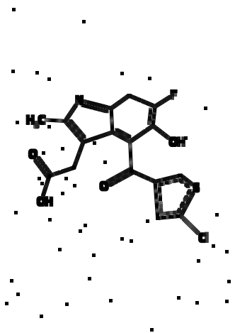 CC1=C(CC(=O)O)C2=C(C(=O)c3csc(Cl)c3)C(O)=C(F)CC2=N1